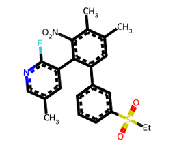 CCS(=O)(=O)c1cccc(-c2cc(C)c(C)c([N+](=O)[O-])c2-c2cc(C)cnc2F)c1